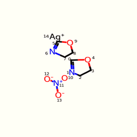 C1=NCCO1.C1=NCCO1.O=[N+]([O-])[O-].[Ag+]